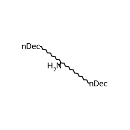 CCCCCCCCCCCCCCCCCCCCCCC(N)CCCCCCCCCCCCCCCCCCC